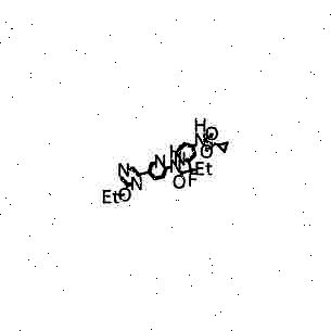 CCOc1cncc(-c2ccc(NC(=O)C(F)(CC)c3cc(NS(=O)(=O)C4CC4)ccn3)nc2)n1